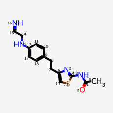 CC(=O)Nc1nc(CCc2ccc(NCC=N)cc2)cs1